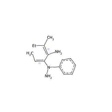 C/C=C(\C(N)=C(\C)CC)N(N)c1ccccc1